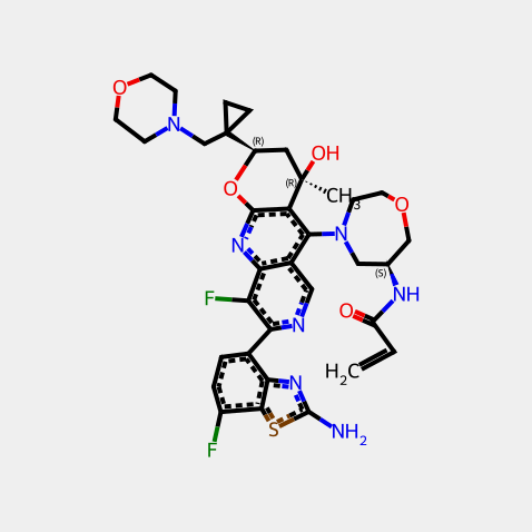 C=CC(=O)N[C@@H]1COCCN(c2c3c(nc4c(F)c(-c5ccc(F)c6sc(N)nc56)ncc24)O[C@@H](C2(CN4CCOCC4)CC2)C[C@@]3(C)O)C1